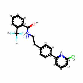 O=C(NCCc1ccc(-c2cccc(Cl)n2)cc1)c1ccccc1C(F)(F)F